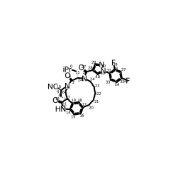 CC(C)C[C@H]1C(=O)N2C[C@]3(C[C@H]2C#N)C(=O)Nc2ccc(cc23)CCCCCN1C(=O)c1cnn(-c2ccc(F)cc2F)c1